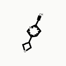 C#Cc1ccc(C2COC2)cn1